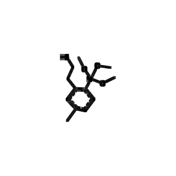 CO[Si](OC)(OC)c1ccc(C)cc1CCS